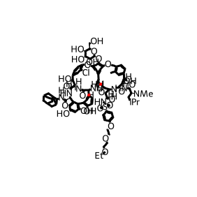 CCOCCOCCOc1ccc(S(=O)(=O)NC(=O)C[C@@H]2NC(=O)[C@H](NC(=O)[C@@H](CC(C)C)NC)[C@H](O)c3ccc(c(C)c3)Oc3cc4cc(c3O[C@@H]3O[C@H](CO)[C@@H](O)[C@H](O)[C@H]3O)Oc3ccc(cc3Cl)[C@@H](O)[C@@H]3NC(=O)[C@H](NC(=O)[C@@H]4NC2=O)c2ccc(O)c(c2)-c2c(O)cc(O)cc2[C@@H](C(=O)NC2C4CC5CC(C4)CC2C5)NC3=O)cc1